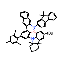 Cc1cc(C)c(-c2cc3c4c(c2)N2c5c(cc(C(C)(C)C)cc5C5(C)CCCCC25C)B4N(c2ccc4c(c2)C(C)(C)c2ccccc2-4)c2cc4ccccc4cc2-3)c(C)c1